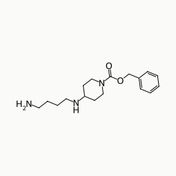 NCCCCNC1CCN(C(=O)OCc2ccccc2)CC1